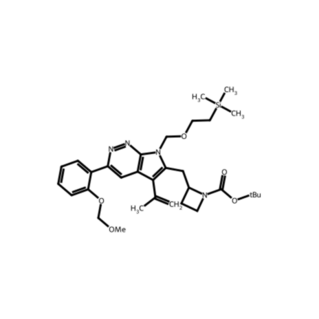 C=C(C)c1c(CC2CCN2C(=O)OC(C)(C)C)n(COCC[Si](C)(C)C)c2nnc(-c3ccccc3OCOC)cc12